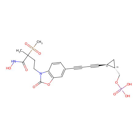 CC(CCn1c(=O)oc2cc(C#CC#C[C@H]3C[C@@H]3COP(=O)(O)O)ccc21)(C(=O)NO)S(C)(=O)=O